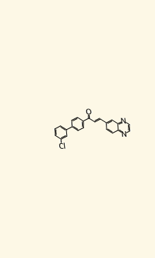 O=C(/C=C/c1ccc2nccnc2c1)c1ccc(-c2cccc(Cl)c2)cc1